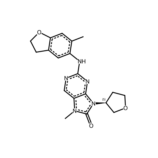 Cc1cc2c(cc1Nc1ncc3c(n1)n([C@H]1CCOC1)c(=O)n3C)CCO2